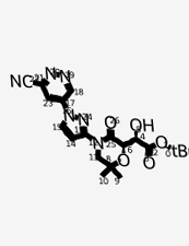 CC(C)(C)OC(=O)[C@H](O)[C@H]1OC(C)(C)CN(c2ccn(-c3cnnc(C#N)c3)n2)C1=O